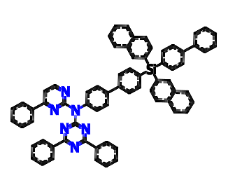 c1ccc(-c2ccc([Si](c3ccc(-c4ccc(N(c5nccc(-c6ccccc6)n5)c5nc(-c6ccccc6)nc(-c6ccccc6)n5)cc4)cc3)(c3ccc4ccccc4c3)c3ccc4ccccc4c3)cc2)cc1